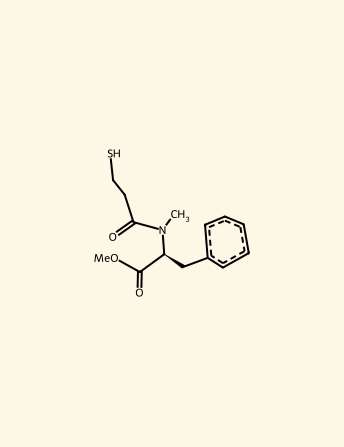 COC(=O)[C@H](Cc1ccccc1)N(C)C(=O)CCS